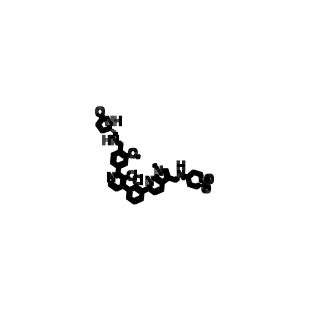 COc1cc(-c2nccc(-c3cccc(-c4ccc5c(CNC6CCS(=O)(=O)CC6)cn(C)c5n4)c3Cl)c2Cl)ccc1CNC[C@@H]1CCC(=O)N1